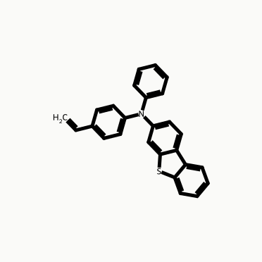 C=Cc1ccc(N(c2ccccc2)c2ccc3c(c2)sc2ccccc23)cc1